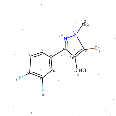 CC(C)(C)n1nc(-c2ccc(F)c(F)c2)c(C=O)c1Br